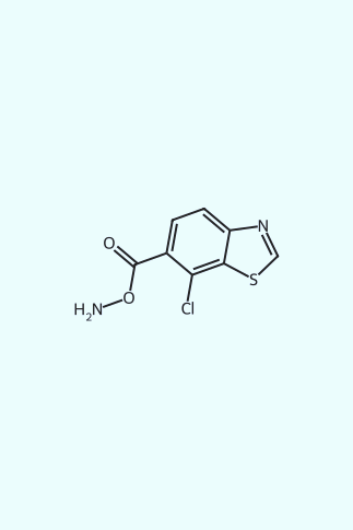 NOC(=O)c1ccc2ncsc2c1Cl